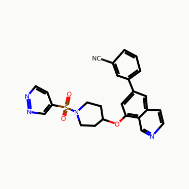 N#Cc1cccc(-c2cc(OC3CCN(S(=O)(=O)c4ccnnc4)CC3)c3cnccc3c2)c1